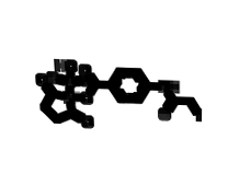 O=C(CI)Nc1ccc(C(=O)O[N+]2(S(=O)(=O)O)C(=O)CCC2=O)cc1